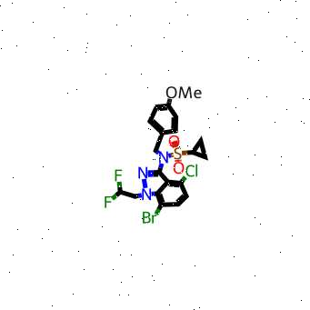 COc1ccc(CN(c2nn(CC(F)F)c3c(Br)ccc(Cl)c23)S(=O)(=O)C2CC2)cc1